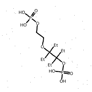 CCC(CC)(OCCOP(=O)(O)O)C(CC)(CC)OP(=O)(O)O